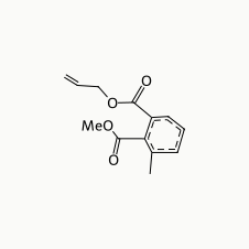 C=CCOC(=O)c1cccc(C)c1C(=O)OC